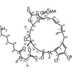 COc1cc2cc(c1Cl)N(C)C(=O)C[C@H](OC(=O)[C@H](C)N(C)C(=O)CCCCCN)[C@]1(C)OC1[C@H](C)C1C[C@@](O)(NC(=O)O1)[C@H](OC)/C=C/C=C(\C)C2